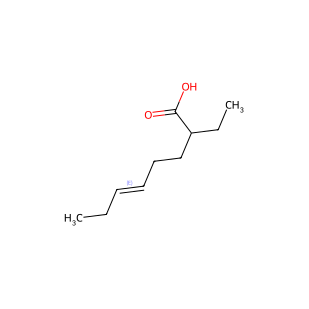 CC/C=C/CCC(CC)C(=O)O